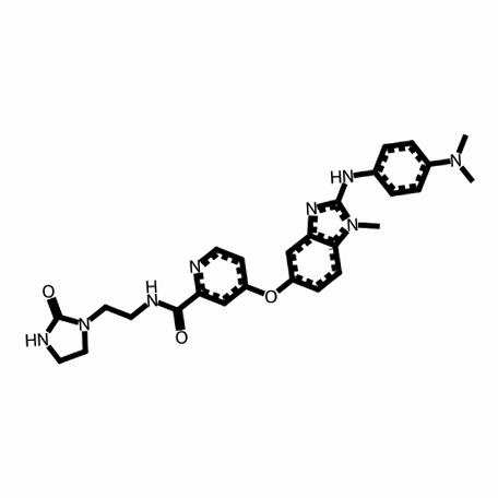 CN(C)c1ccc(Nc2nc3cc(Oc4ccnc(C(=O)NCCN5CCNC5=O)c4)ccc3n2C)cc1